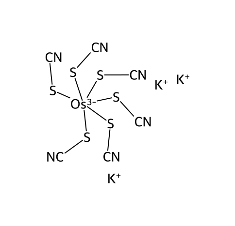 N#C[S][Os-3]([S]C#N)([S]C#N)([S]C#N)([S]C#N)[S]C#N.[K+].[K+].[K+]